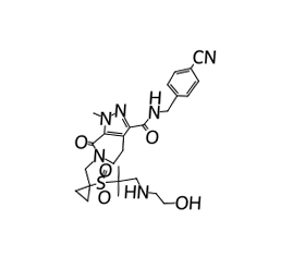 Cn1nc(C(=O)NCc2ccc(C#N)cc2)c2c1C(=O)N(CC1(S(=O)(=O)C(C)(C)CNCCO)CC1)CC2